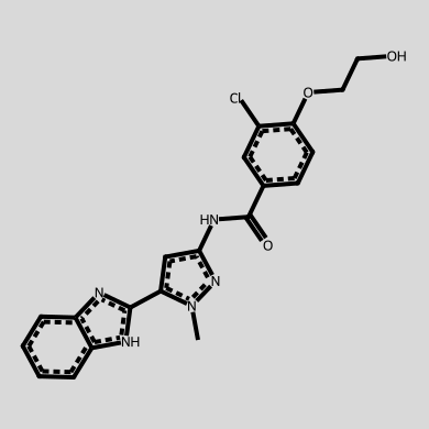 Cn1nc(NC(=O)c2ccc(OCCO)c(Cl)c2)cc1-c1nc2ccccc2[nH]1